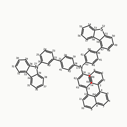 c1ccc(-c2cccc3cccc(-c4ccc(N(c5ccc(-c6cccc(-n7c8ccccc8c8ccccc87)c6)cc5)c5ccc(-c6cccc7sc8ccccc8c67)cc5)cc4)c23)cc1